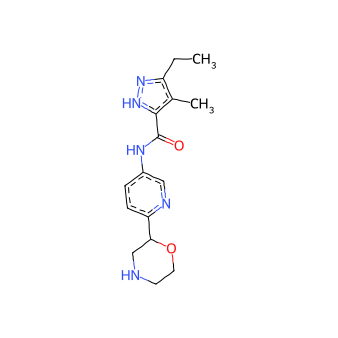 CCc1n[nH]c(C(=O)Nc2ccc(C3CNCCO3)nc2)c1C